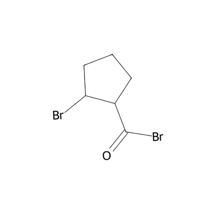 O=C(Br)C1CCCC1Br